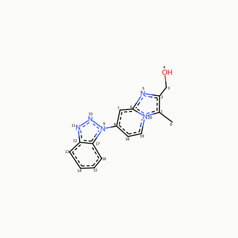 Cc1c(CO)nc2cc(-n3nnc4ccccc43)ccn12